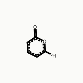 [2H]c1cccc(=O)o1